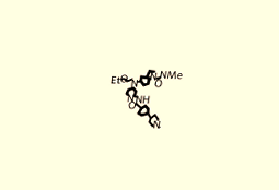 CCOCCN(c1ccnc(NC(=O)c2ccc(C3CCN(C)CC3)cc2)c1)c1ccc2c(ccn2C(=O)NC)c1